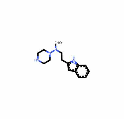 O=[C]N(CCc1cc2ccccc2[nH]1)N1CCNCC1